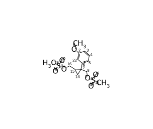 COc1cccc(C2(COS(C)(=O)=O)CC2COS(C)(=O)=O)c1